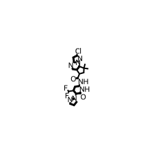 CC1(C)CC(C(=O)Nc2cc(C(F)F)c(-n3cccn3)c(=O)[nH]2)c2cnc3cc(Cl)nn3c21